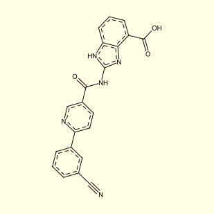 N#Cc1cccc(-c2ccc(C(=O)Nc3nc4c(C(=O)O)cccc4[nH]3)cn2)c1